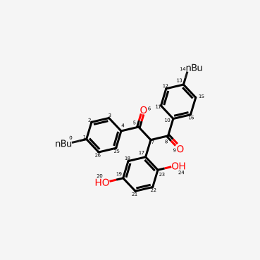 CCCCc1ccc(C(=O)C(C(=O)c2ccc(CCCC)cc2)c2cc(O)ccc2O)cc1